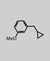 COc1cccc(C[C]2CC2)c1